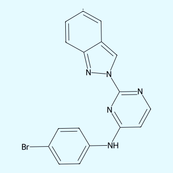 Brc1ccc(Nc2ccnc(-n3cc4c[c]ccc4n3)n2)cc1